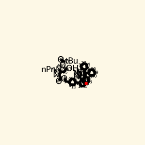 CCCc1nc(C(=O)OCc2ccc(-c3ccccc3-c3nnnn3C(c3ccccc3)(c3ccccc3)c3ccccc3)cc2)c(CCO)n1COC(=O)C(C)(C)C